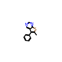 Cc1sc2ncncc2c1-c1ccccc1